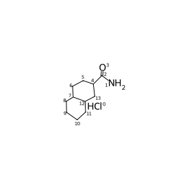 Cl.NC(=O)C1CCC2CCCCC2C1